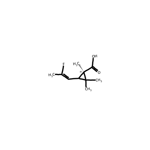 CC(F)=CC1C(C)(C)[C@]1(C)C(=O)O